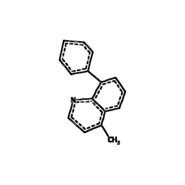 Cc1ccnc2c(-c3ccccc3)cccc12